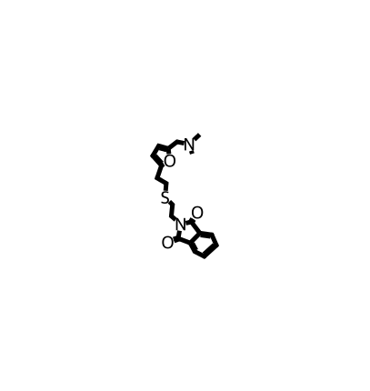 CN(C)Cc1ccc(CCSCCN2C(=O)c3ccccc3C2=O)o1